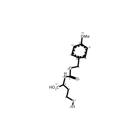 CCSCCC(NC(=O)OCc1ccc(OC)cc1)C(=O)O